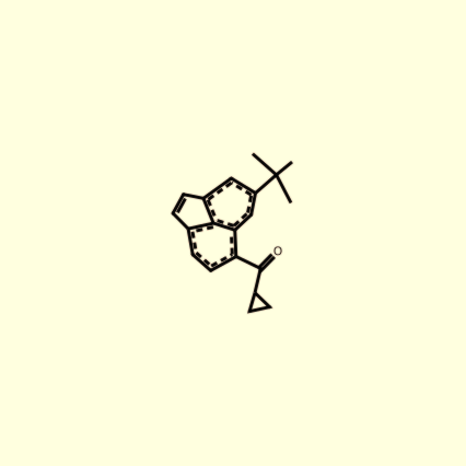 CC(C)(C)c1cc2c3c(ccc(C(=O)C4CC4)c3c1)C=C2